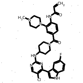 C=CC(=O)Nc1ccc(C(=O)N2CCC(Nc3ncc(Cl)c(-c4c[nH]c5ccc(F)cc45)n3)CC2)cc1N1CCN(C)CC1